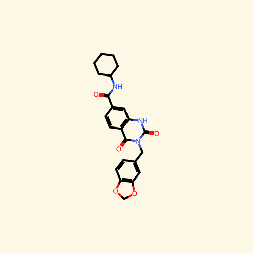 O=C(NC1CCCCC1)c1ccc2c(=O)n(Cc3ccc4c(c3)OCO4)c(=O)[nH]c2c1